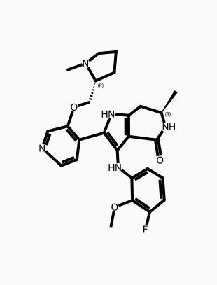 COc1c(F)cccc1Nc1c(-c2ccncc2OC[C@H]2CCCN2C)[nH]c2c1C(=O)N[C@H](C)C2